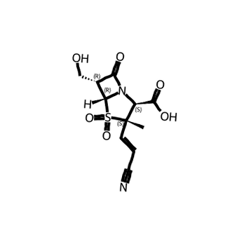 C[C@]1(C=CC#N)[C@H](C(=O)O)N2C(=O)[C@@H](CO)[C@H]2S1(=O)=O